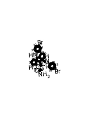 CC(C)(OC(N)=O)C(C1(CNc2ccc(Br)cc2)CCCC1)C1(CNc2ccc(Br)cc2)CCCC1